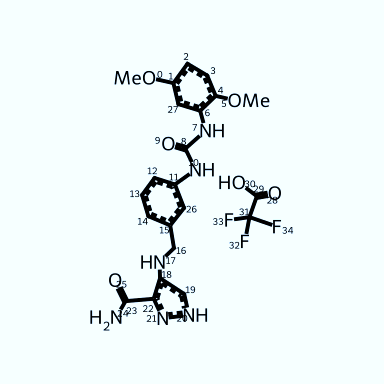 COc1ccc(OC)c(NC(=O)Nc2cccc(CNc3c[nH]nc3C(N)=O)c2)c1.O=C(O)C(F)(F)F